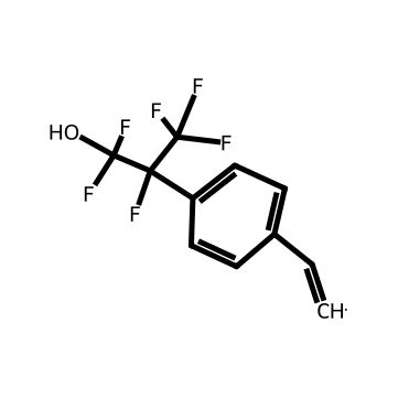 [CH]=Cc1ccc(C(F)(C(O)(F)F)C(F)(F)F)cc1